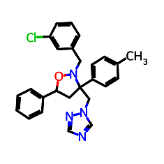 Cc1ccc(C2(Cn3cncn3)CC(c3ccccc3)ON2Cc2cccc(Cl)c2)cc1